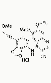 CCOc1cc2ncc(C#N)c(Nc3ccc(C#CCOC)c4c3OCO4)c2cc1OC.Cl